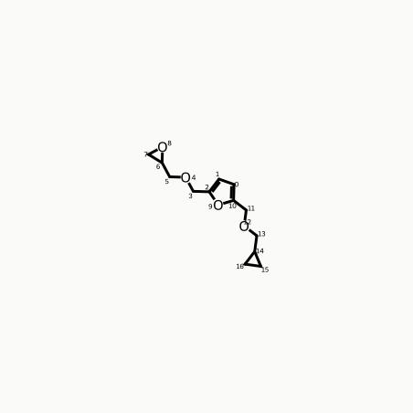 c1cc(COCC2CO2)oc1COCC1CC1